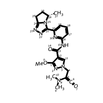 COc1nn(CC(=C=O)N(C)C)cc1C(=O)Nc1cccc(-c2nnc3n2[C@@H](C)CC3)n1